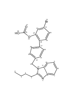 CCCCc1nc2ccccc2n1Cc1ccc(-c2ccc(Br)cc2OC(=O)O)cc1